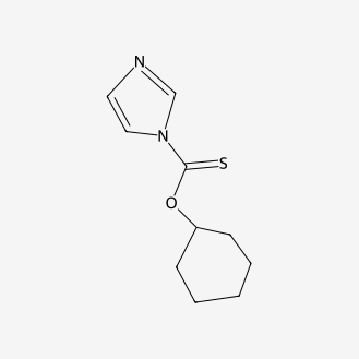 S=C(OC1CCCCC1)n1ccnc1